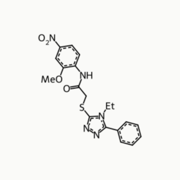 CCn1c(SCC(=O)Nc2ccc([N+](=O)[O-])cc2OC)nnc1-c1ccccc1